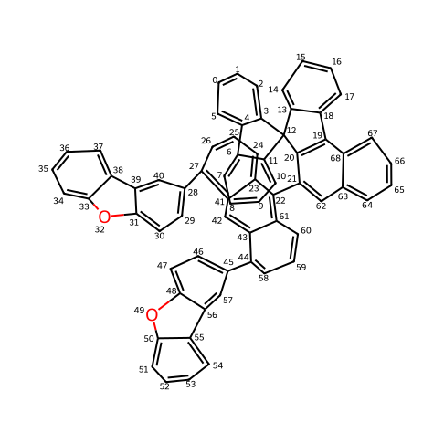 c1ccc2c(c1)-c1ccccc1C21c2ccccc2-c2c1c(-c1c3cccc(-c4ccc5oc6ccccc6c5c4)c3cc3c(-c4ccc5oc6ccccc6c5c4)cccc13)cc1ccccc21